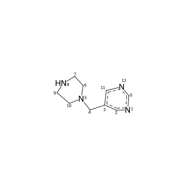 c1ncc(CN2CCNCC2)cn1